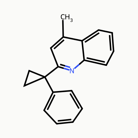 Cc1cc(C2(c3ccccc3)CC2)nc2ccccc12